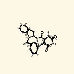 Nc1c(C(=O)NC2Cc3ccccc3C2Cc2ccccc2)[nH]c(=O)[nH]c1=O